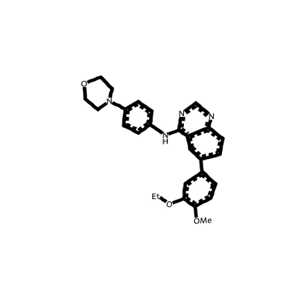 CCOc1cc(-c2ccc3ncnc(Nc4ccc(N5CCOCC5)cc4)c3c2)ccc1OC